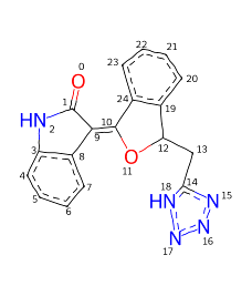 O=C1Nc2ccccc2/C1=C1\OC(Cc2nnn[nH]2)c2ccccc21